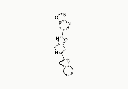 c1ccc2oc(-c3cc4oc(-c5cnc6ncoc6c5)nc4cn3)nc2c1